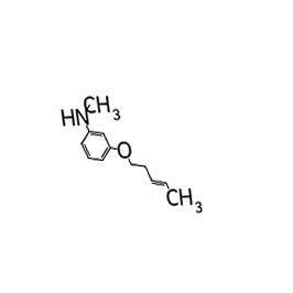 C/C=C/CCOc1cccc(NC)c1